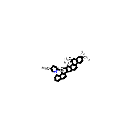 COc1ccc([Se]c2c(-c3cc4ccc5c(c4cc3C)C(C)(C)CC3=C5C=CC(C)(C)C3)ccc3ccccc23)nc1